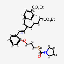 CCOC(=O)CCCCC(/C=C/c1ccccc1OCCCSC(=O)N1CCCC1)Cc1ccc(C(=O)OCC)cc1